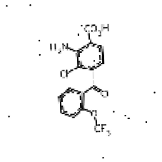 Nc1c(C(=O)O)ccc(C(=O)c2ccccc2OC(F)(F)F)c1Cl